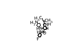 CCC[C@@H](C)c1cc2c(N[C@H]3CC[C@H](N)CC3)c(C(=O)Nc3ccc(F)cc3)cnc2[nH]1